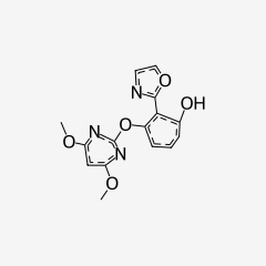 COc1cc(OC)nc(Oc2cccc(O)c2-c2ncco2)n1